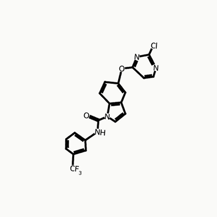 O=C(Nc1cccc(C(F)(F)F)c1)n1ccc2cc(Oc3ccnc(Cl)n3)ccc21